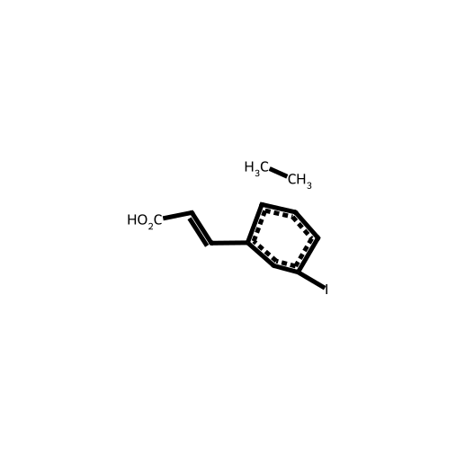 CC.O=C(O)C=Cc1cccc(I)c1